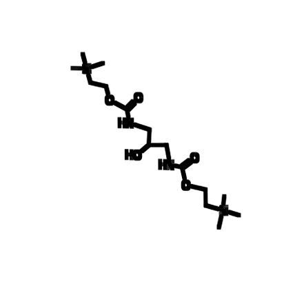 C[Si](C)(C)CCOC(=O)NCC(O)CNC(=O)OCC[Si](C)(C)C